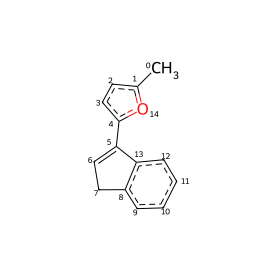 Cc1ccc(C2=CCc3ccccc32)o1